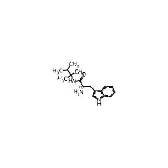 CC(C)C(C)(C)NC(=O)[C@@H](N)Cc1c[nH]c2ccccc12